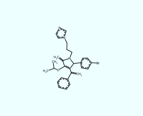 C=C(C1=C(OC(C)C)C(=C)N(CCCn2ccnc2)C1c1ccc(Br)cc1)c1ccccc1